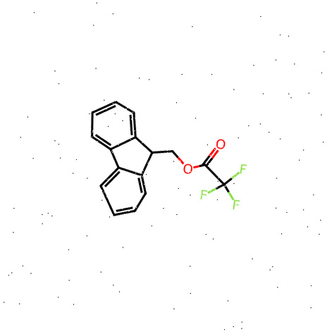 O=C(OCC1c2ccccc2-c2ccccc21)C(F)(F)F